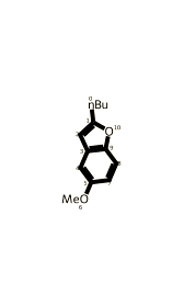 CCCCc1cc2cc(OC)ccc2o1